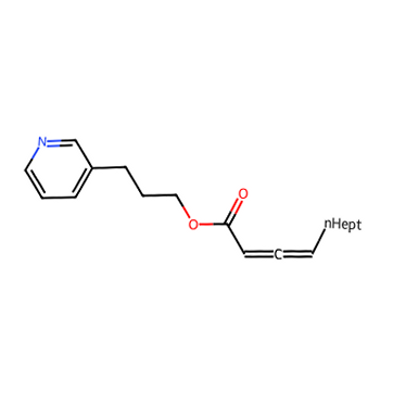 CCCCCCCC=C=CC(=O)OCCCc1cccnc1